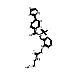 [2H]C(C)(C)N(Cc1ccccc1OCC(=O)NCCC(=O)O)C(=O)c1ccc(-c2ccco2)cc1